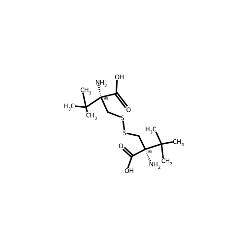 CC(C)(C)[C@](N)(CSSC[C@](N)(C(=O)O)C(C)(C)C)C(=O)O